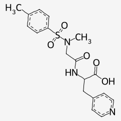 Cc1ccc(S(=O)(=O)N(C)CC(=O)NC(Cc2ccncc2)C(=O)O)cc1